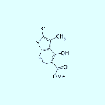 COC(=O)c1ccc2sc(Br)c(C)c2c1O